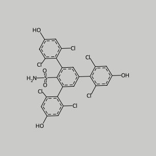 NS(=O)(=O)c1c(-c2c(Cl)cc(O)cc2Cl)cc(-c2c(Cl)cc(O)cc2Cl)cc1-c1c(Cl)cc(O)cc1Cl